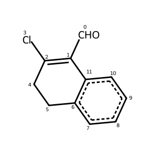 O=CC1=C(Cl)CCc2ccccc21